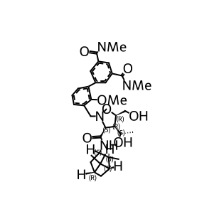 CNC(=O)c1cc(C(=O)NC)cc(-c2cccc(CN3O[C@@H](CO)[C@@H]([C@H](C)O)[C@H]3C(=O)N[C@H]3C[C@H]4C[C@@H]([C@@H]3C)C4(C)C)c2OC)c1